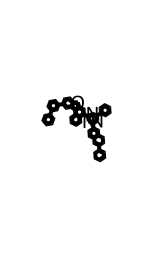 C1=CCCC(C2=Cc3ccc(-c4nc(-c5ccccc5)nc(-c5cc6oc7ccc(-c8cccc(-c9ccccc9)c8)cc7c6c6ccccc56)n4)cc3CC2)=C1